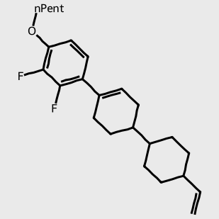 C=CC1CCC(C2CC=C(c3ccc(OCCCCC)c(F)c3F)CC2)CC1